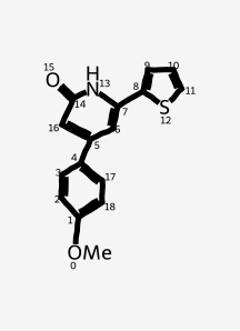 COc1ccc(-c2cc(-c3cccs3)[nH]c(=O)c2)cc1